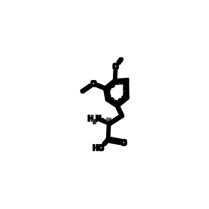 COc1ccc(C[C@H](N)C(=O)O)cc1OC